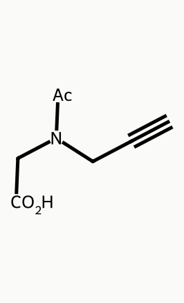 C#CCN(CC(=O)O)C(C)=O